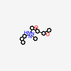 c1ccc(C2=NC(c3cccc4oc5cc(-c6ccc7oc8ccccc8c7c6)ccc5c34)NC(c3ccc4ccc5ccccc5c4c3)=N2)cc1